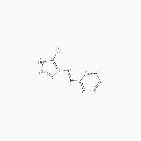 Oc1[nH]ncc1N=Nc1ccccc1